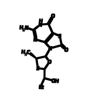 CCC(O)C1OC(n2c(=O)sc3c(=O)[nH]c(N)nc32)[C@H](C)S1